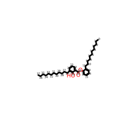 CCCCCCCCCCCCc1ccccc1OC(=O)c1cccc(CCCCCCCCCCCC)c1O